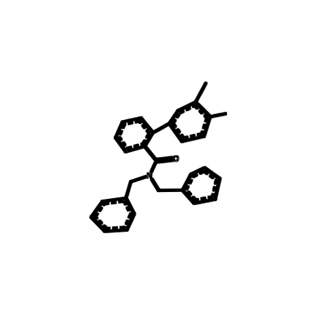 Cc1ccc(-c2ccccc2C(=O)N(Cc2ccccc2)Cc2ccccc2)cc1C